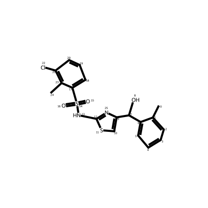 Cc1ccccc1C(O)c1csc(NS(=O)(=O)c2cccc(Cl)c2C)n1